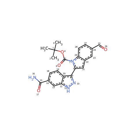 CC(C)(C)OC(=O)n1c(-c2n[nH]c3cc(C(N)=O)ccc23)cc2cc(C=O)ccc21